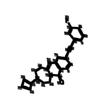 O=c1c2ccc(C#Cc3cccc(F)c3)cc2nc2n1CCN(C1=CC=C1)CC2